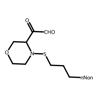 CCCCCCCCCCCCSN1CCOCC1C(=O)C=O